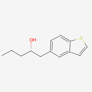 CCC[C@H](O)Cc1ccc2sccc2c1